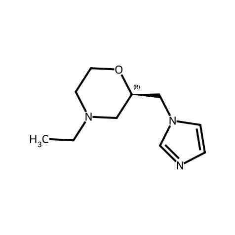 CCN1CCO[C@@H](Cn2ccnc2)C1